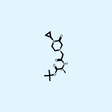 C[C@H](NC(=O)CN1CCN(C2CC2)C(=O)C1)C(=O)OC(C)(C)C